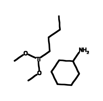 CCC[CH2][Ti]([O]C)[O]C.NC1CCCCC1